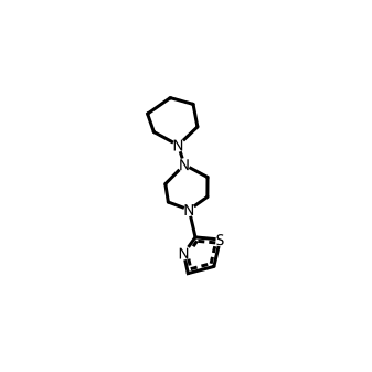 c1csc(N2CCN(N3CCCCC3)CC2)n1